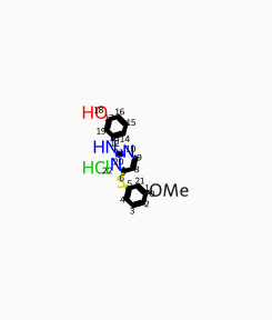 COc1cccc(Sc2ccnc(Nc3cccc(O)c3)n2)c1.Cl